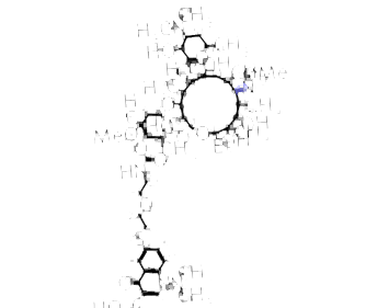 CC[C@H]1OC(=O)[C@H](C)[C@@H](O[C@H]2C[C@@](C)(OC)[C@@H](OC(=O)NCCOCCSc3ccc4c(c3)c(=O)c(C(=O)O)cn4N(C)C)[C@H](C)O2)[C@H](C)[C@@H](O[C@@H]2O[C@H](C)C[C@H](N(C)C)[C@H]2O)[C@](C)(O)C[C@@H](C)/C(=N\OC)[C@@H](C)[C@@H](O)[C@]1(C)O